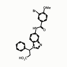 COc1ccc(C(=O)Nc2ccc3c(c2)ncn3C(CC(=O)O)c2ccccc2)cc1Br